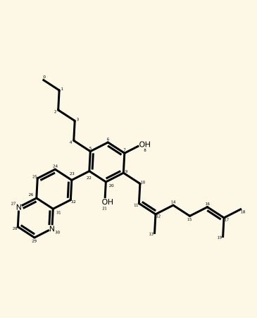 CCCCCc1cc(O)c(CC=C(C)CCC=C(C)C)c(O)c1-c1ccc2nccnc2c1